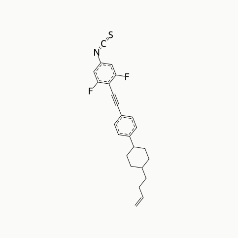 C=CCCC1CCC(c2ccc(C#Cc3c(F)cc(N=C=S)cc3F)cc2)CC1